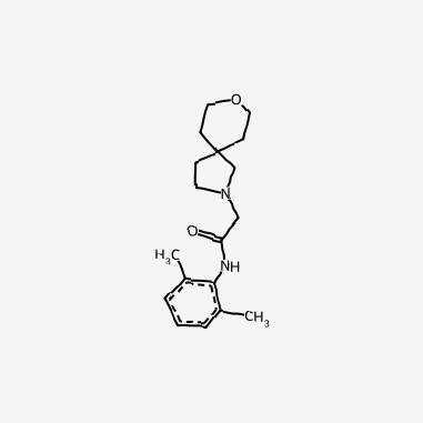 Cc1cccc(C)c1NC(=O)CN1CCC2(CCOCC2)C1